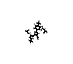 CC(C)COc1cc(C(C)(C)C)sc1-c1sc(-c2c(F)c(F)c(C(C)(C)C)c3nn(CC(C)C)nc23)cc1C#N